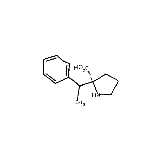 CC(c1ccccc1)[C@@]1(C(=O)O)CCCN1